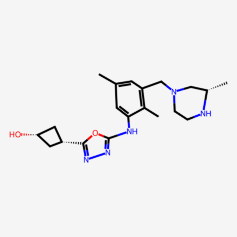 Cc1cc(CN2CCN[C@@H](C)C2)c(C)c(Nc2nnc([C@H]3C[C@@H](O)C3)o2)c1